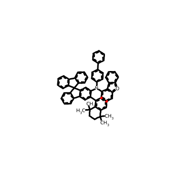 CC1(C)CCC(C)(C)c2c(-c3cc4c(cc3N(c3ccc(-c5ccccc5)cc3)c3cccc5oc6ccccc6c35)C3(c5ccccc5-c5ccccc53)c3ccccc3-4)cccc21